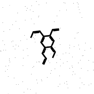 C=C/C=c1/cc(/C=C\C)c(C=C)c/c1=C/C